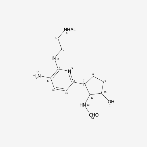 CC(=O)NCCNc1nc(N2CCC(O)C2NC=O)ccc1N